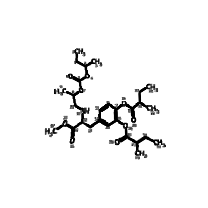 CCC(C)OC(=O)OC(C)CN[C@@H](Cc1ccc(OC(=O)C(C)CC)c(OC(=O)C(C)CC)c1)C(=O)OC